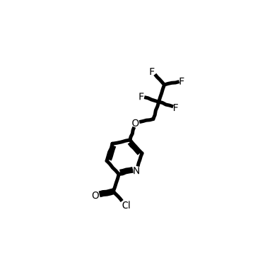 O=C(Cl)c1ccc(OCC(F)(F)C(F)F)cn1